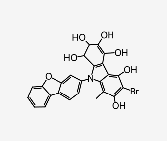 Cc1c(O)c(Br)c(O)c2c3c(n(-c4ccc5c(c4)oc4ccccc45)c12)C(O)C(O)C(O)=C3O